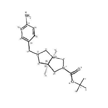 CC(C)(C)OC(=O)N1C[C@]2(C)CN(Cc3ccc(N)nc3)C[C@]2(C)C1